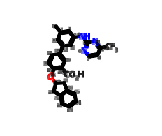 Cc1cc(Nc2nccc(C(F)(F)F)n2)cc(-c2ccc(OC3Cc4ccccc4C3)c(C(=O)O)c2)c1